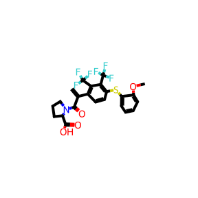 C=C(C(=O)N1CCCC1C(=O)O)c1ccc(Sc2ccccc2OC)c(C(F)(F)F)c1C(F)(F)F